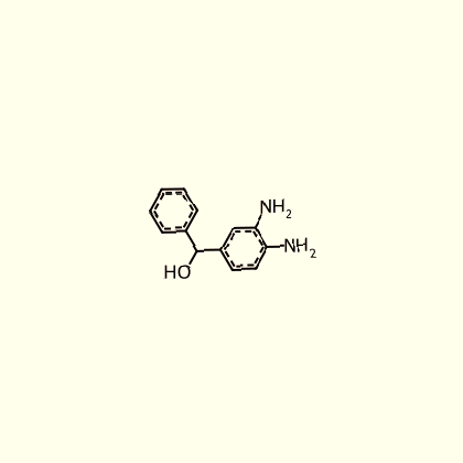 Nc1ccc(C(O)c2ccccc2)cc1N